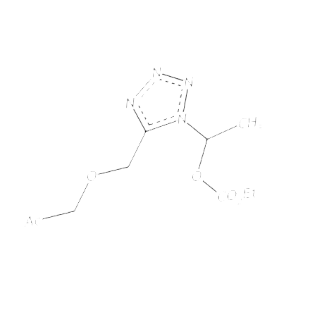 CCOC(=O)OC(C)n1nnnc1COCC(C)=O